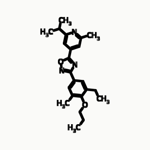 CCCOc1c(C)cc(-c2noc(-c3cc(C)nc(C(C)C)c3)n2)cc1CC